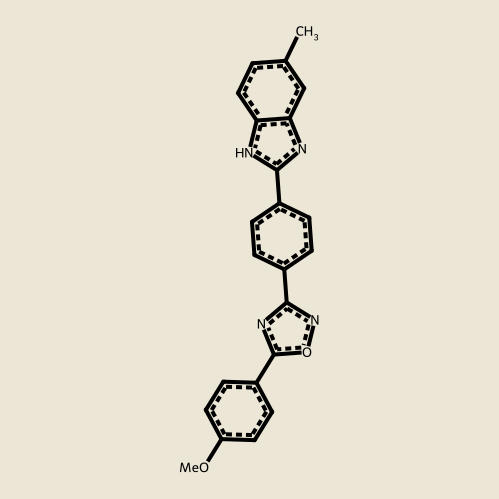 COc1ccc(-c2nc(-c3ccc(-c4nc5cc(C)ccc5[nH]4)cc3)no2)cc1